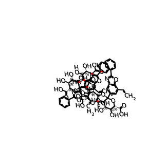 C=Cc1cc(C2(O[C@@H]3[C@@H](OC4(c5cc(C=C)c6oc(-c7ccccc7)nc6c5)O[C@H](C(=O)O)[C@@H](O)[C@H](O)[C@H]4O)[C@](Br)(OC4(c5cc(C=C)c6oc(-c7ccccc7)nc6c5)O[C@H](C(=O)O)[C@@H](O)[C@H](O)[C@H]4O)[C@@H](C(=O)O)OC3(O)F)O[C@H](C(=O)O)[C@@H](O)[C@H](O)[C@H]2O)cc2nc(-c3ccccc3)oc12